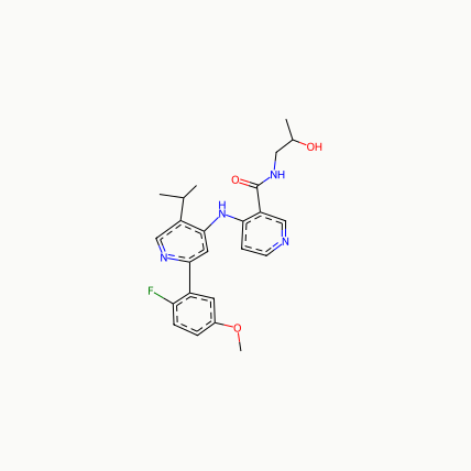 COc1ccc(F)c(-c2cc(Nc3ccncc3C(=O)NCC(C)O)c(C(C)C)cn2)c1